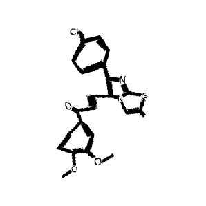 COc1ccc(C(=O)/C=C/c2c(-c3ccc(Cl)cc3)nc3sc(C)cn23)cc1OC